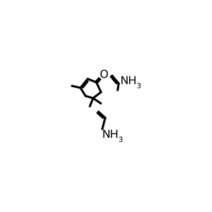 C=CC.C=CC.CC1=CC(=O)CC(C)(C)C1.N.N